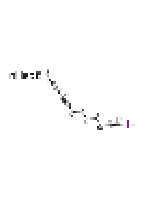 CCCCCCCCC#CC#CCCCCCC#CI